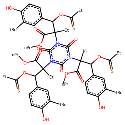 CCCOC(=O)C(CC)(C(OC(=S)CC)c1ccc(O)c(C(C)(C)C)c1)n1c(=O)n(C(CC)(C(=O)OCCC)C(OC(=S)CC)c2ccc(O)c(C(C)(C)C)c2)c(=O)n(C(CC)(C(=O)OCCC)C(OC(=S)CC)c2ccc(O)c(C(C)(C)C)c2)c1=O